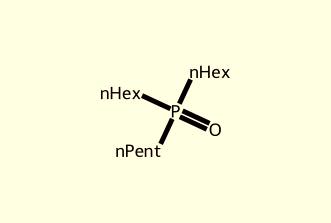 CCCCCCP(=O)(CCCCC)CCCCCC